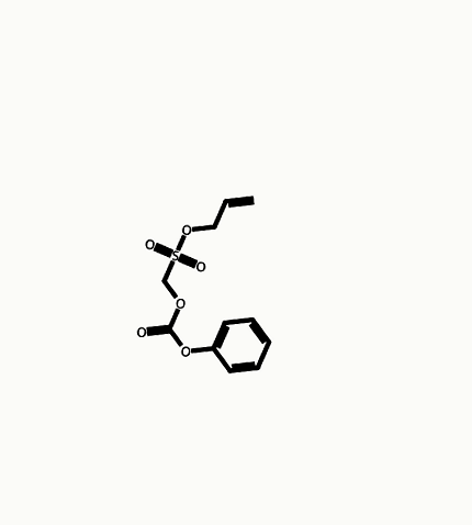 C=CCOS(=O)(=O)COC(=O)Oc1ccccc1